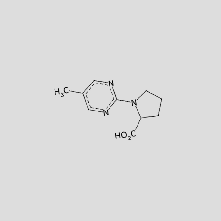 Cc1cnc(N2CCCC2C(=O)O)nc1